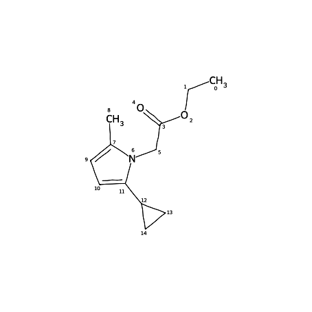 CCOC(=O)Cn1c(C)ccc1C1CC1